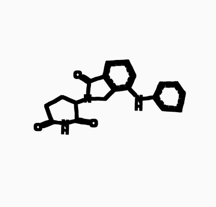 O=C1CCC(N2Cc3c(Nc4ccccc4)cccc3C2=O)C(=O)N1